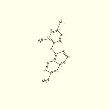 COc1ccc2c(Cc3ncc(N)nc3N)cccc2c1